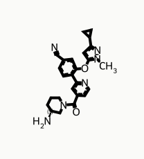 Cn1nc(C2CC2)cc1Oc1cc(C#N)ccc1-c1cc(C(=O)N2CCC[C@H](N)C2)ccn1